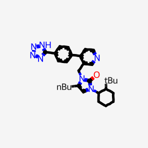 CCCCc1cn(C2CCCCC2C(C)(C)C)c(=O)n1Cc1cnccc1-c1ccc(-c2nnn[nH]2)cc1